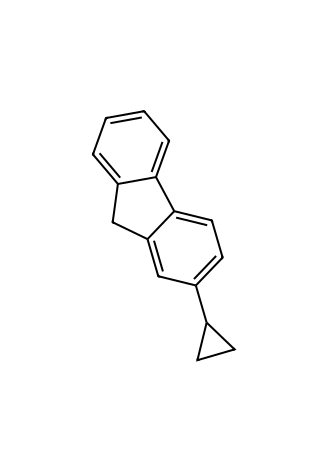 c1ccc2c(c1)Cc1cc(C3CC3)ccc1-2